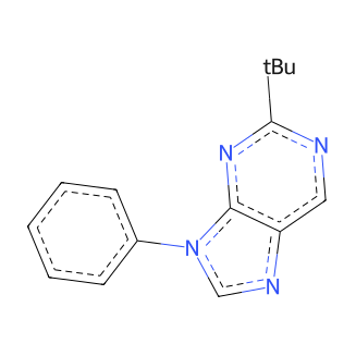 CC(C)(C)c1ncc2ncn(-c3ccccc3)c2n1